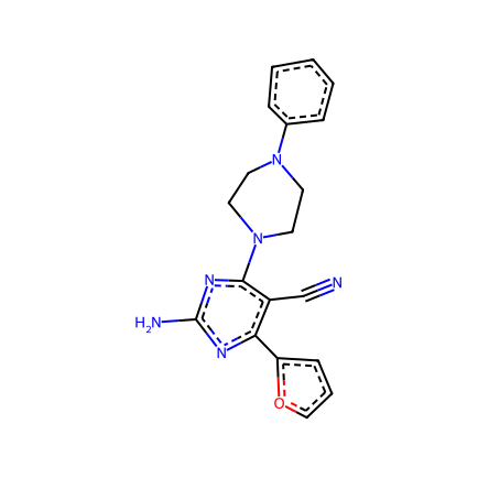 N#Cc1c(-c2ccco2)nc(N)nc1N1CCN(c2ccccc2)CC1